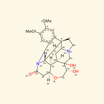 COc1cc2c(cc1OC)[C@@]13CCN4CC5(O)[C@H](O)CO[C@H]6CC(=O)N2[C@H]1[C@H]6[C@H]5C[C@H]43